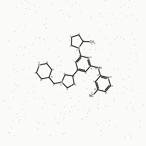 CC1CCCN1c1cc(C2CCN(CC3CCOCC3)C2)cc(Nc2cc(C#N)ccn2)n1